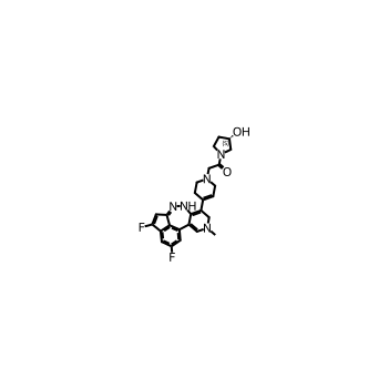 CN1C=C2C(=C(C3=CCN(CC(=O)N4CC[C@H](O)C4)CC3)C1)NN=C1C=C(F)c3cc(F)cc2c31